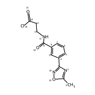 Cc1nc(-c2cccc(C(=O)NCCC(=O)Cl)c2)no1